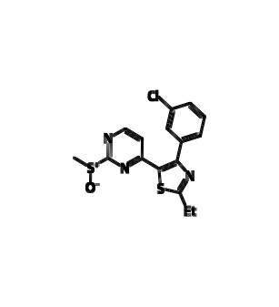 CCc1nc(-c2cccc(Cl)c2)c(-c2ccnc([S+](C)[O-])n2)s1